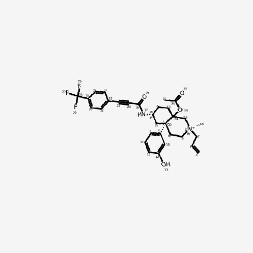 C=CC[N@@+]1(C)CC[C@@]2(c3cccc(O)c3)C[C@H](NC(=O)C#Cc3ccc(C(F)(F)F)cc3)CCC2(OC(C)=O)C1